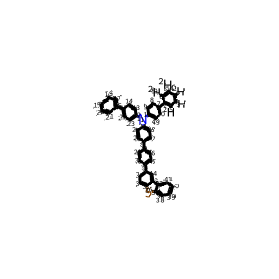 [2H]c1c([2H])c([2H])c(-c2ccc(N(c3ccc(-c4ccccc4)cc3)c3ccc(-c4ccc(-c5ccc6sc7ccccc7c6c5)cc4)cc3)cc2)c([2H])c1[2H]